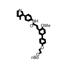 CCCCOCCOc1ccc(-c2ccc(OC)c(/C=C/C(=O)Nc3ccc(-c4cnccc4C)cc3)c2)cc1